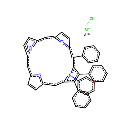 C1=Cc2cc3c(-c4ccccc4)c(-c4ccccc4)c(c(-c4ccccc4)c4nc(cc5ccc(cc1n2)[nH]5)C=C4)n3-c1ccccc1.[Al+3].[Cl-].[Cl-].[Cl-]